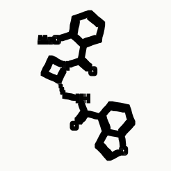 COc1ccccc1C(=O)N1CC[C@H]1CNC(=O)c1cccc2occc12